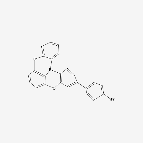 CC(C)c1ccc(-c2ccc3c(c2)Oc2cccc4c2B3c2ccccc2O4)cc1